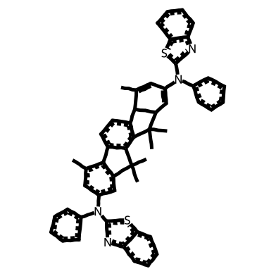 CC1=CC(N(c2ccccc2)c2nc3ccccc3s2)=CC2C1c1ccc3c(c1C2(C)C)C(C)(C)c1cc(N(c2ccccc2)c2nc4ccccc4s2)cc(C)c1-3